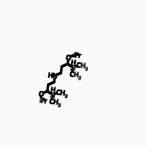 CC(C)OC(CCNCCC(OC(C)C)[SiH](C)C)[SiH](C)C